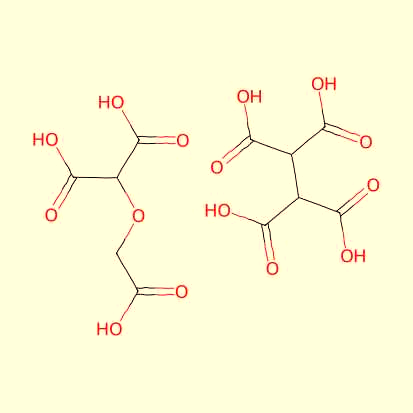 O=C(O)C(C(=O)O)C(C(=O)O)C(=O)O.O=C(O)COC(C(=O)O)C(=O)O